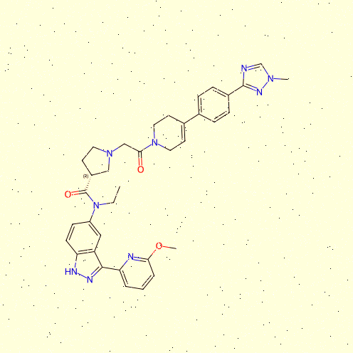 CCN(C(=O)[C@@H]1CCN(CC(=O)N2CC=C(c3ccc(-c4ncn(C)n4)cc3)CC2)C1)c1ccc2[nH]nc(-c3cccc(OC)n3)c2c1